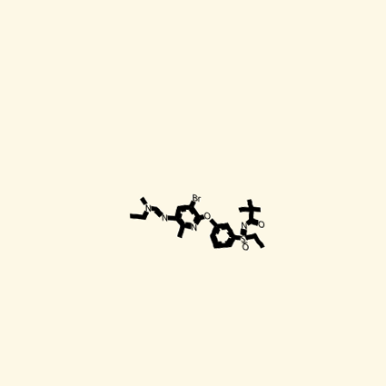 CCN(C)C=Nc1cc(Br)c(Oc2cccc(S(=O)(CC)=NC(=O)C(C)(C)C)c2)nc1C